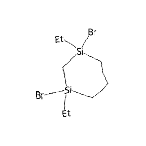 CC[Si]1(Br)CCC[Si](Br)(CC)C1